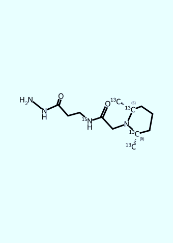 [13CH3][13C@@H]1CCC[13C@H]([13CH3])N1CC(=O)[15NH]CCC(=O)NN